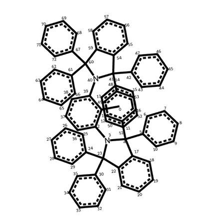 Cc1c(N2C(c3ccccc3)(c3ccccc3)c3ccccc3C2(c2ccccc2)c2ccccc2)cccc1N1C(c2ccccc2)(c2ccccc2)c2ccccc2C1(c1ccccc1)c1ccccc1